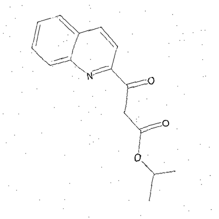 CC(C)OC(=O)CC(=O)c1ccc2ccccc2n1